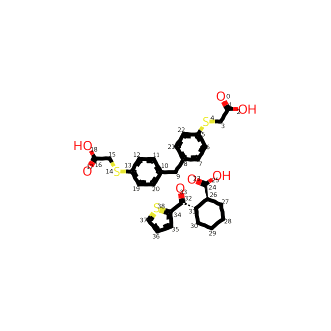 O=C(O)CSc1ccc(Cc2ccc(SCC(=O)O)cc2)cc1.O=C(O)[C@H]1CCCC[C@@H]1C(=O)c1cccs1